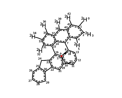 [2H]c1c([2H])c([2H])c2c(-c3ccccc3)c3c(-c4c(C)c(C)cc5c4Cc4ccccc4-5)c([2H])c([2H])c([2H])c3c([2H])c2c1[2H]